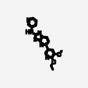 CCOc1ncc(-c2ccc3nc(Nc4cccnc4)sc3n2)cc1OC